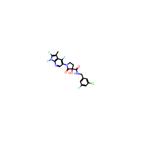 Cc1c(F)n(F)c2ncc(N3CCC(O)(C(=O)NCc4cc(F)cc(Cl)c4)C3=O)c(F)c12